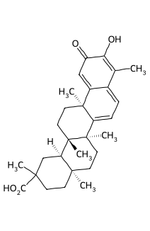 CC1=C(O)C(=O)C=C2C1=CC=C1[C@@]2(C)CC[C@@]2(C)[C@@H]3CC(C)(C(=O)O)CC[C@]3(C)CC[C@]12C